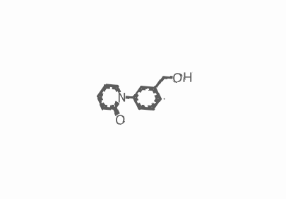 O=c1ccccn1-c1cc[c]c(CO)c1